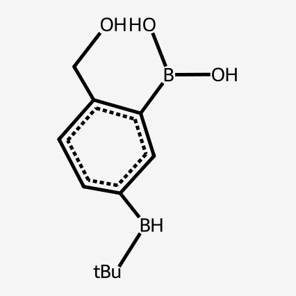 CC(C)(C)Bc1ccc(CO)c(B(O)O)c1